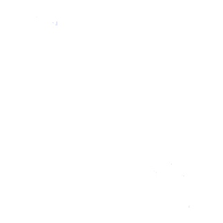 CC(C)(C)NCCOCCOCCOCCn1cc(C(C)(C)C)nn1